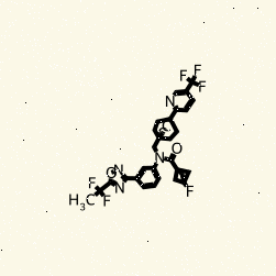 CC(F)(F)c1nc(-c2cccc(N(CC34CCC(c5ccc(C(F)(F)F)cn5)(CC3)CC4)C(=O)C34CC(F)(C3)C4)c2)no1